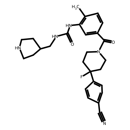 Cc1ccc(C(=O)N2CCC(F)(c3ccc(C#N)cc3)CC2)cc1NC(=O)NCC1CCNCC1